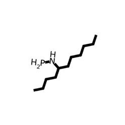 CCCCCCC(CCCC)NP